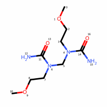 COCCN(CN(CCOC)C(N)=O)C(N)=O